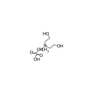 CN(CCO)CCO.O=S(=O)(O)O